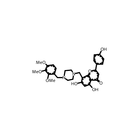 COc1ccc(CN2CCN(Cc3c(O)cc(O)c4c(=O)cc(-c5ccc(O)cc5)oc34)CC2)c(OC)c1OC